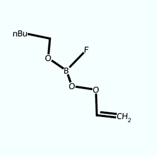 C=COOB(F)OCCCCC